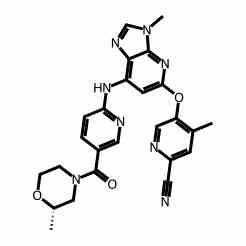 Cc1cc(C#N)ncc1Oc1cc(Nc2ccc(C(=O)N3CCO[C@@H](C)C3)cn2)c2ncn(C)c2n1